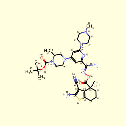 CC1CN(c2cc(/C(N)=N/OC(=O)C3(C)CCCc4sc(N)c(C#N)c43)nc(N3CCN(C)CC3)c2)CCN1C(=O)OC(C)(C)C